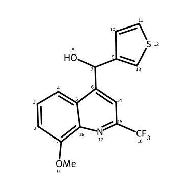 COc1cccc2c(C(O)c3ccsc3)cc(C(F)(F)F)nc12